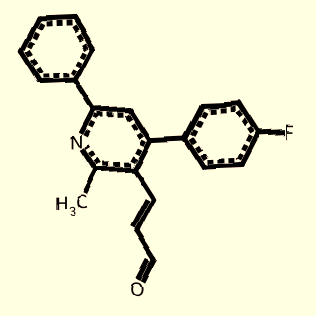 Cc1nc(-c2ccccc2)cc(-c2ccc(F)cc2)c1/C=C/C=O